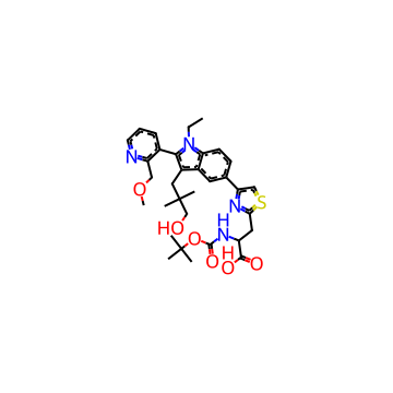 CCn1c(-c2cccnc2COC)c(CC(C)(C)CO)c2cc(-c3csc(CC(NC(=O)OC(C)(C)C)C(=O)O)n3)ccc21